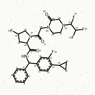 O=C(NC(c1ccccc1)c1ccc(C2CC2)c(F)c1)C1CC(F)CN1C(=O)CN1CCN(C(F)C(F)F)CC1=O